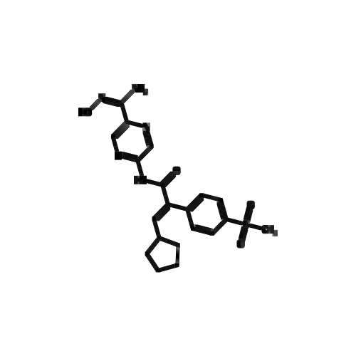 CS(=O)(=O)c1ccc(/C(=C\C2CCCC2)C(=O)Nc2cnc(/C(N)=N\O)cn2)cc1